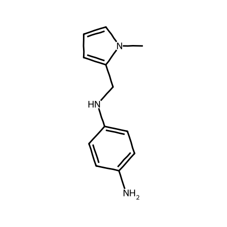 Cn1cccc1CNc1ccc(N)cc1